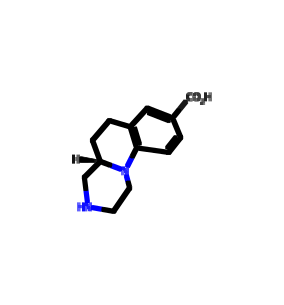 O=C(O)c1ccc2c(c1)CC[C@H]1CNCCN21